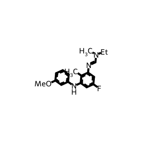 CCN(C)C=Nc1cc(F)cc(Nc2cccc(OC)c2)c1C